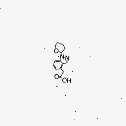 O=C(O)Cc1cccc2c1cnn2C1CCCCO1